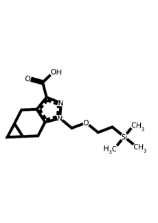 C[Si](C)(C)CCOCn1nc(C(=O)O)c2c1CC1CC1C2